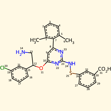 Cc1cccc(C)c1-c1cc(OC(CN)c2cccc(Cl)c2)nc(NSc2cccc(C(=O)O)c2)n1